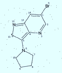 Brc1cnc2c(N3CCCC3)snc2c1